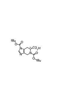 CC(C)(C)OC(=O)N1Cc2ncn(C(=O)OC(C)(C)C)c2C[C@H]1C(=O)O